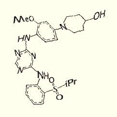 COc1cc(N2CCC(O)CC2)ccc1Nc1ncnc(Nc2ccccc2S(=O)(=O)C(C)C)n1